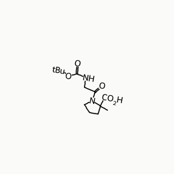 CC(C)(C)OC(=O)NCC(=O)N1CCCC1(C)C(=O)O